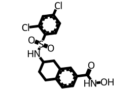 O=C(NO)c1ccc2c(c1)CC(NS(=O)(=O)c1ccc(Cl)cc1Cl)CC2